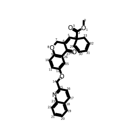 COC(=O)C1(/C=C2/COc3ccc(OCc4ccc5ccccc5n4)cc3C2=O)C=CC=CC1